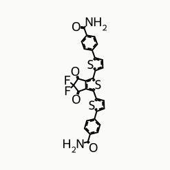 NC(=O)c1ccc(-c2ccc(-c3sc(-c4ccc(-c5ccc(C(N)=O)cc5)s4)c4c3C(=O)C(F)(F)C4=O)s2)cc1